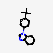 CC(C)(C)c1ccc(-n2[c]nc3ccccc32)cc1